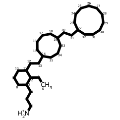 CCC1C(CCCN)CCCC1CCC1CCCCC(CCC2CCCCCCCCCC2)CCC1